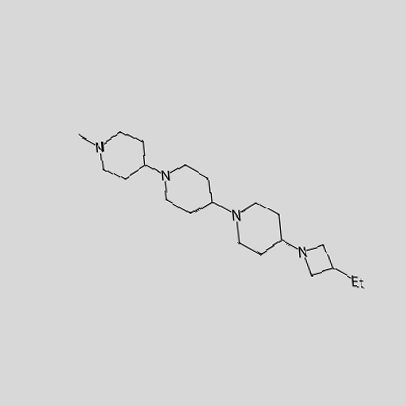 CCC1CN(C2CCN(C3CCN(C4CCN(C)CC4)CC3)CC2)C1